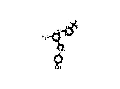 Cc1cc(Nc2nccc(C(F)(F)F)n2)cc(-c2cnn(C3CCC(O)CC3)c2)c1